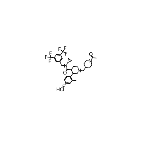 CC(=O)N1CCC(CN2CCC(C(=O)N(Cc3cc(C(F)(F)F)cc(C(F)(F)F)c3)C3CC3)C(c3ccc(F)cc3C)C2)CC1.Cl